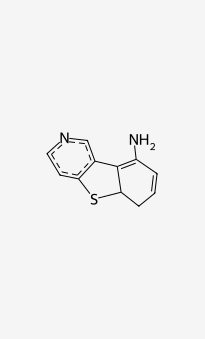 NC1=C2c3cnccc3SC2CC=C1